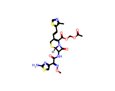 CON=C(C(=O)NC1C(=O)N2C(C(=O)OCOC(C)=O)=C(C=Cc3scnc3C)CS[C@@H]12)c1csc(N)n1